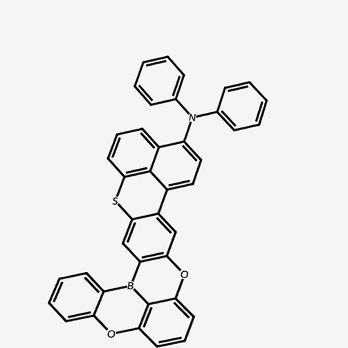 c1ccc(N(c2ccccc2)c2ccc3c4c(cccc24)Sc2cc4c(cc2-3)Oc2cccc3c2B4c2ccccc2O3)cc1